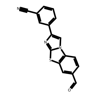 N#Cc1cccc(-c2cn3c(n2)sc2cc(C=O)ccc23)c1